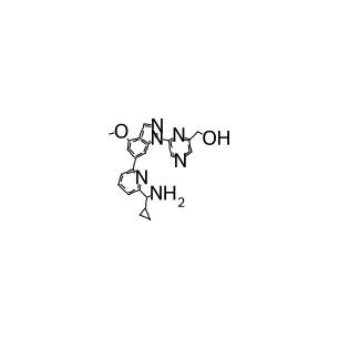 COc1cc(-c2cccc(C(N)C3CC3)n2)cc2c1cnn2-c1cncc(CO)n1